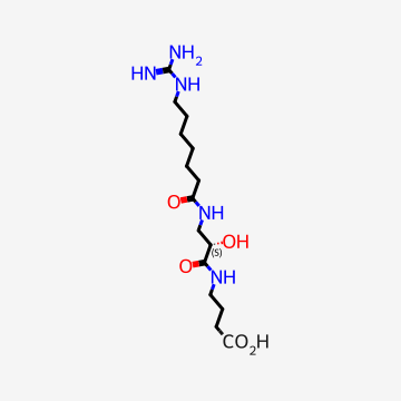 N=C(N)NCCCCCCC(=O)NC[C@H](O)C(=O)NCCCC(=O)O